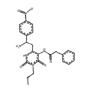 CCCn1c(=O)[nH]c(CC(N)c2ccc([N+](=O)[O-])cc2)c(NC(=O)Cc2ccccc2)c1=O